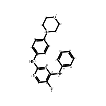 Brc1cnc(Nc2ccc(N3CCOCC3)cc2)nc1Nc1ccccc1